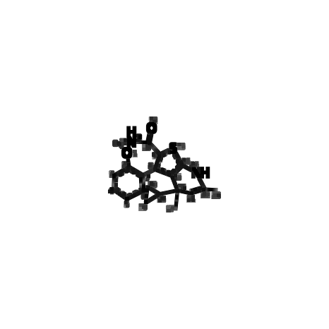 COc1ccccc1-c1c(C(N)=O)sc2c1C(C)(C1CC1)C=C(C)N2